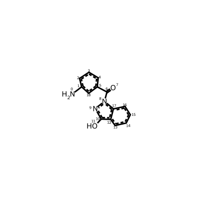 Nc1cccc(C(=O)n2nc(O)c3ccccc32)c1